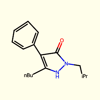 CCCCc1[nH]n(CC(C)C)c(=O)c1-c1ccccc1